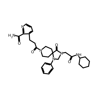 NC(=O)c1ncccc1C[CH]C(=O)N1CCC2(CC1)C(=O)N(CC(=O)NC1CCCCC1)CN2c1ccccc1